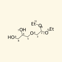 CCOC(COCC(O)CO)OCC